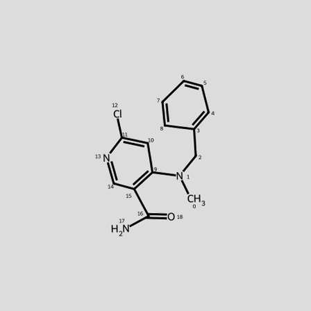 CN(Cc1ccccc1)c1cc(Cl)ncc1C(N)=O